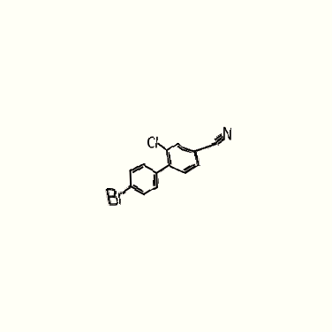 N#Cc1ccc(-c2ccc(Br)cc2)c(Cl)c1